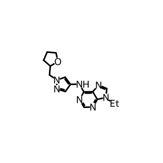 CCn1cnc2c(Nc3cnn(CC4CCCO4)c3)ncnc21